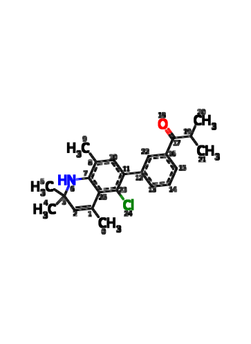 CC1=CC(C)(C)Nc2c(C)cc(-c3cccc(C(=O)C(C)C)c3)c(Cl)c21